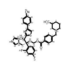 CC1CCCN(Cc2ccc(C(=O)OCO[C@@](Cn3cncn3)(c3ccc(F)cc3F)[C@@H](C)c3nc(-c4ccc(C#N)cc4)cs3)cc2)C1